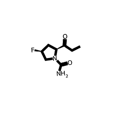 CCC(=O)[C@@H]1C[C@H](F)CN1C(N)=O